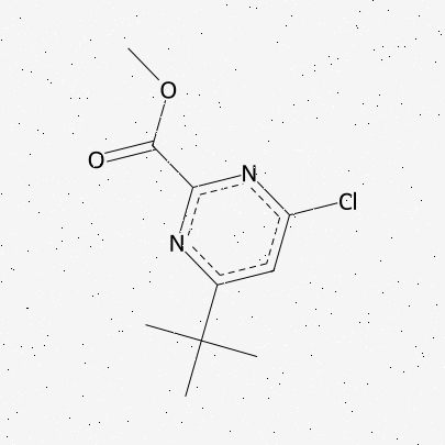 COC(=O)c1nc(Cl)cc(C(C)(C)C)n1